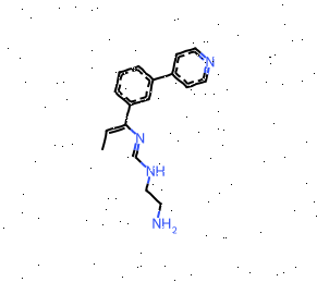 C/C=C(\N=C\NCCN)c1cccc(-c2ccncc2)c1